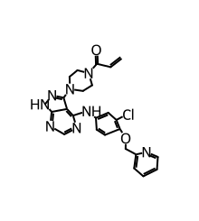 C=CC(=O)N1CCN(c2n[nH]c3ncnc(Nc4ccc(OCc5ccccn5)c(Cl)c4)c23)CC1